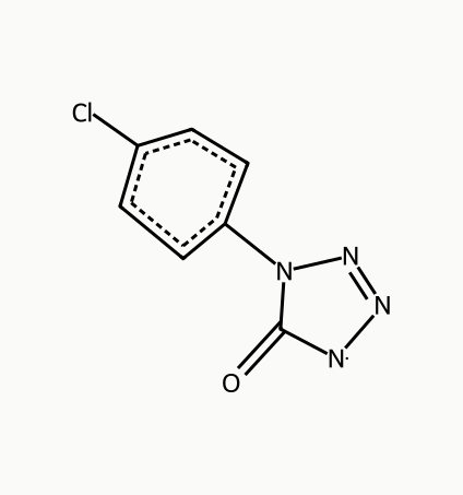 O=C1[N]N=NN1c1ccc(Cl)cc1